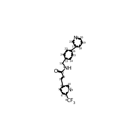 O=C(C=Cc1ccc(C(F)(F)F)nc1)NCc1ccc(-c2cccnc2)cc1